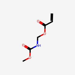 C=CC(=O)OCNC(=O)OC